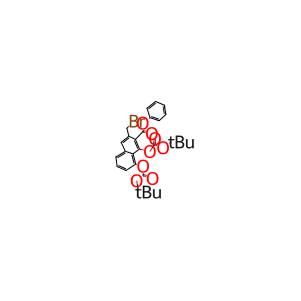 CC(C)(C)OC(=O)Oc1cccc2cc(CBr)c(C(=O)Oc3ccccc3)c(OC(=O)OC(C)(C)C)c12